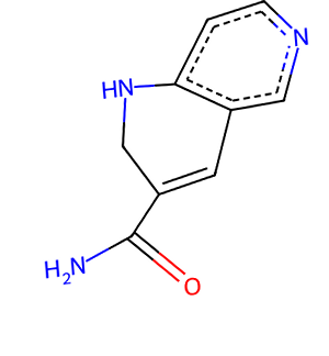 NC(=O)C1=Cc2cnccc2NC1